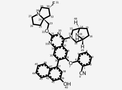 N#Cc1ccccc1Oc1cc2c(N3C[C@H]4CC[C@H](C3)N4)nc(OC[C@@]34CCCN3C[C@H](F)C4)nc2cc1-c1cc(O)cc2ccccc12